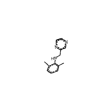 Cc1cccc(C)c1NCc1cnccn1